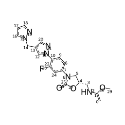 C=C(NC[C@H]1CN(c2ccc(-n3cc(Cn4cccn4)cn3)c(F)c2)C(=O)O1)OC